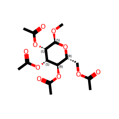 CO[C@H]1O[C@H](COC(C)=O)[C@@H](OC(C)=O)[C@H](OC(C)=O)[C@@H]1OC(C)=O